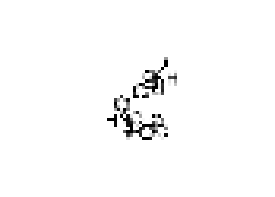 CCCNS(=O)(=O)c1ccc(-c2cccc(NC(=O)C3(c4ccc5c(c4)OCO5)CC3)c2)cc1